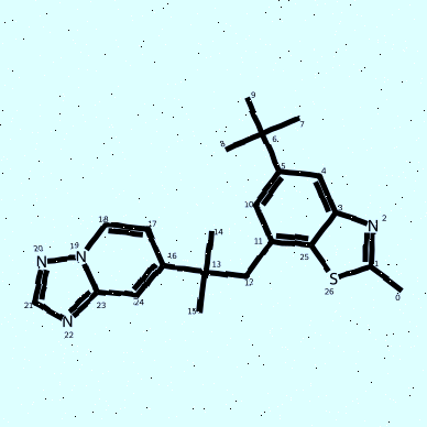 Cc1nc2cc(C(C)(C)C)cc(CC(C)(C)c3ccn4ncnc4c3)c2s1